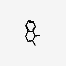 C[C]1c2ccccc2CCC1C